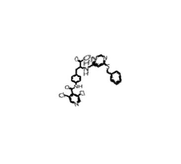 O=C(Nc1ccc(CC(Nc2cc(SCc3ccccc3)ncn2)C(=O)O)cc1)c1c(Cl)cncc1Cl